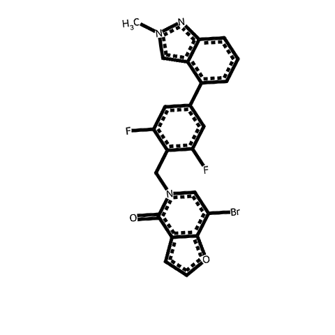 Cn1cc2c(-c3cc(F)c(Cn4cc(Br)c5occc5c4=O)c(F)c3)cccc2n1